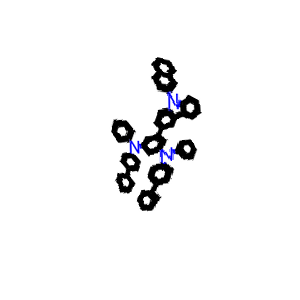 c1ccc(-c2ccc(N(c3ccccc3)c3cc(-c4ccc5c(c4)c4ccccc4n5-c4ccc5ccccc5c4)cc(N(c4ccccc4)c4ccc(-c5ccccc5)cc4)c3)cc2)cc1